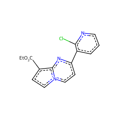 CCOC(=O)c1ccn2ccc(-c3cccnc3Cl)nc12